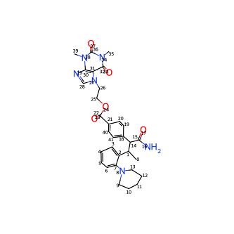 CC(c1ccccc1N1CCCCC1)C(C(N)=O)c1ccc(C(=O)OCCn2cnc3c2c(=O)n(C)c(=O)n3C)cc1